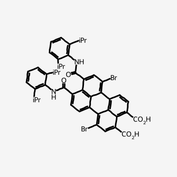 CC(C)c1cccc(C(C)C)c1NC(=O)c1ccc2c3c(Br)cc(C(=O)O)c4c(C(=O)O)ccc(c5c(Br)cc(C(=O)Nc6c(C(C)C)cccc6C(C)C)c1c25)c43